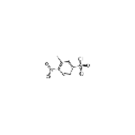 Cc1cc(S(=O)(=O)Cl)ccc1[N+](=O)[O-]